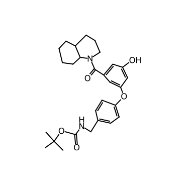 CC(C)(C)OC(=O)NCc1ccc(Oc2cc(O)cc(C(=O)N3CCCC4CCCCC43)c2)cc1